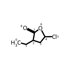 CCC1CC(Cl)OC1=O